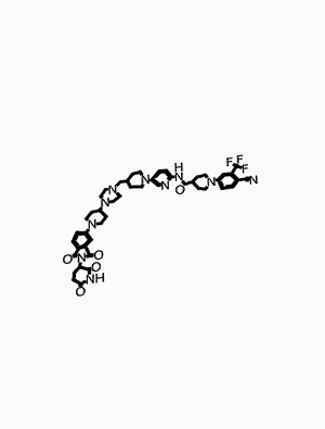 N#Cc1ccc(N2CCC(C(=O)Nc3ccc(N4CCC(CN5CCN(C6CCN(c7ccc8c(c7)C(=O)N(C7CCC(=O)NC7=O)C8=O)CC6)CC5)CC4)cn3)CC2)cc1C(F)(F)F